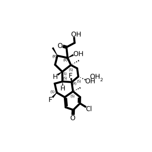 C[C@@H]1C[C@H]2[C@@H]3C[C@H](F)C4=CC(=O)C(Cl)=C[C@]4(C)[C@@]3(F)[C@@H](O)C[C@]2(C)[C@@]1(O)C(=O)CO.O